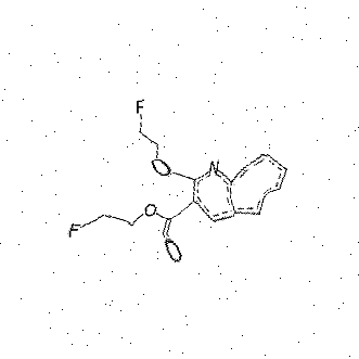 O=C(OCCF)c1cc2ccccc2nc1OCCF